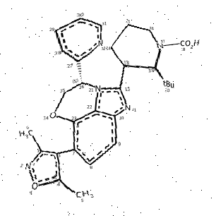 Cc1noc(C)c1-c1ccc2nc(C3CCCN(C(=O)O)C3C(C)(C)C)n3c2c1OC[C@@H]3c1ccccn1